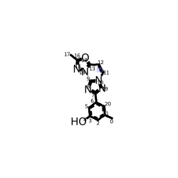 Cc1cc(O)cc(-c2ncn(/C=C\c3nnc(C)o3)n2)c1